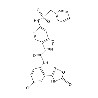 O=C(Nc1ccc(Cl)cc1-c1noc(=O)[nH]1)c1noc2cc(NS(=O)(=O)Cc3ccccc3)ccc12